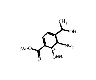 COC(=O)C1=CC=C(C(C)O)C([N+](=O)[O-])[C@H]1OC